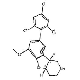 COc1cc(-c2c(Cl)cc(Cl)cc2Cl)cc2c1O[C@H]1CCNC[C@@H]21